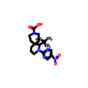 CC(C)(C)C1N(c2ncc([N+](=O)[O-])cn2)CCCC12CCN(C(=O)O)CC2